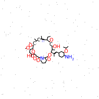 CCC1/C=C(\C)CC(C)CC(OC)C2OC(O)(C(=O)C(=O)N3CCCCC3C(=O)OC(C(C)=CC3CCC(N)C(OC(C)C)C3)C(C)C(O)CC1=O)C(C)CC2OC